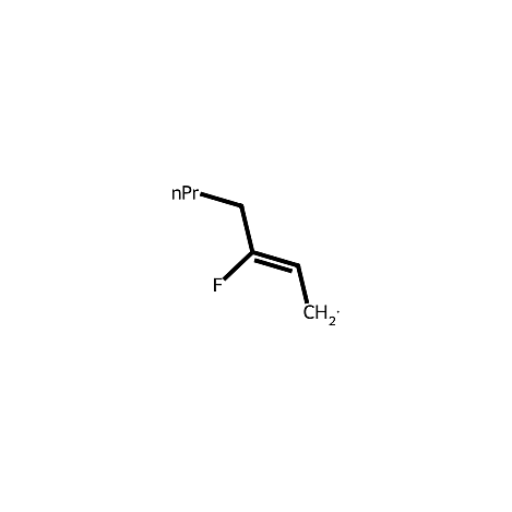 [CH2]C=C(F)CCCC